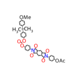 COc1ccc(C(C)(C)c2ccc(OC(=O)Oc3ccc(-n4c(=O)c5cc6c(=O)n(-c7ccc(OC(C)=O)cc7)c(=O)c6cc5c4=O)cc3)cc2)cc1